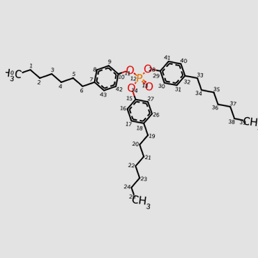 CCCCCCCc1ccc(OP(=O)(Oc2ccc(CCCCCCC)cc2)Oc2ccc(CCCCCCC)cc2)cc1